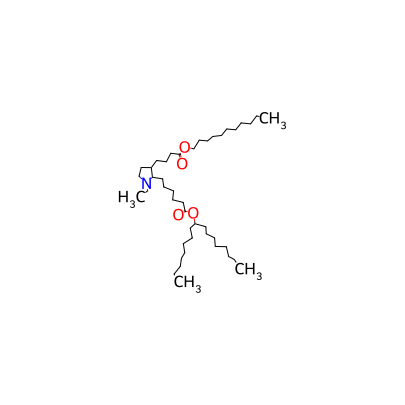 CCCCCCCCCCCOC(=O)CCCC1CCN(CC)C1CCCCCC(=O)OC(CCCCCCCC)CCCCCCCC